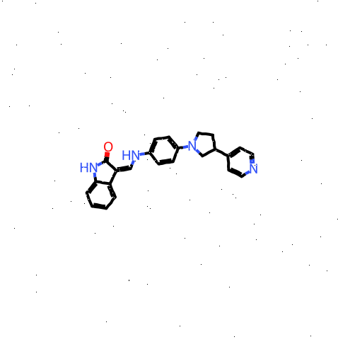 O=C1Nc2ccccc2/C1=C/Nc1ccc(N2CCC(c3ccncc3)C2)cc1